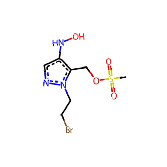 CS(=O)(=O)OCc1c(NO)cnn1CCBr